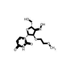 COCCO[C@@H]1C(=NO)[C@@H](CO)O[C@H]1n1ccc(=O)[nH]c1=O